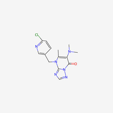 Cc1c(N(C)C)c(=O)n2ncnc2n1Cc1ccc(Cl)nc1